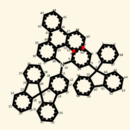 c1ccc(C2(c3cccc(N(c4ccc5c(c4)C4(c6ccccc6-c6ccccc64)c4ccccc4-5)c4cccc5c6ccccc6c6ccccc6c45)c3)c3ccccc3-c3ccccc32)cc1